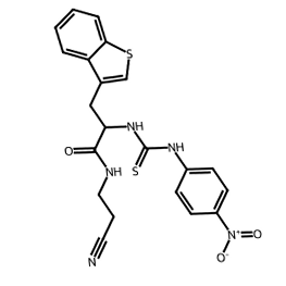 N#CCCNC(=O)C(Cc1csc2ccccc12)NC(=S)Nc1ccc([N+](=O)[O-])cc1